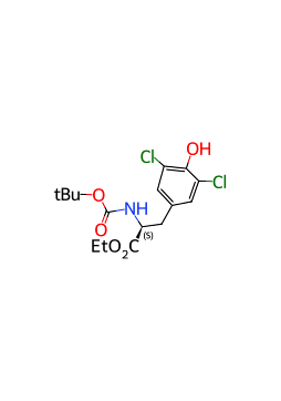 CCOC(=O)[C@H](Cc1cc(Cl)c(O)c(Cl)c1)NC(=O)OC(C)(C)C